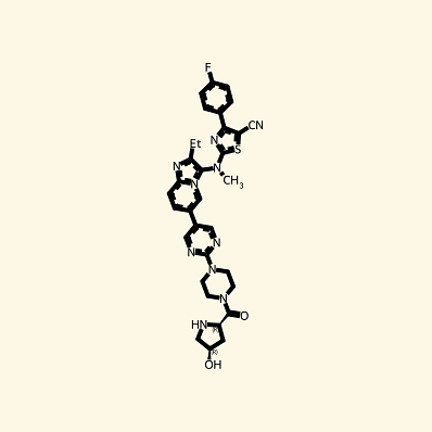 CCc1nc2ccc(-c3cnc(N4CCN(C(=O)[C@H]5C[C@@H](O)CN5)CC4)nc3)cn2c1N(C)c1nc(-c2ccc(F)cc2)c(C#N)s1